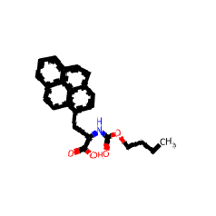 CCCCOC(=O)NC(Cc1ccc2ccc3cccc4ccc1c2c34)C(=O)O